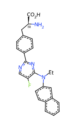 CCN(c1ccc2ccccc2c1)c1nc(-c2ccc(C[C@H](N)C(=O)O)cc2)ncc1F